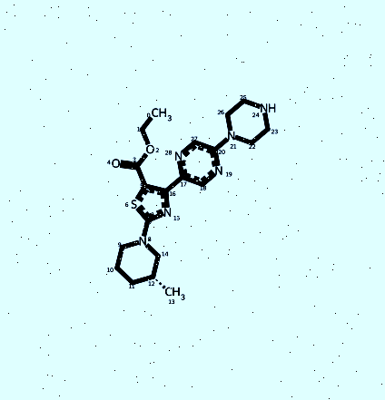 CCOC(=O)c1sc(N2CCC[C@@H](C)C2)nc1-c1cnc(N2CCNCC2)cn1